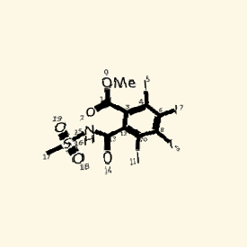 COC(=O)c1c(I)c(I)c(I)c(I)c1C(=O)NS(C)(=O)=O